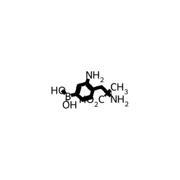 C[C@](N)(Cc1ccc(B(O)O)cc1N)C(=O)O